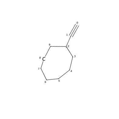 C#C[C]1CCCCCCC1